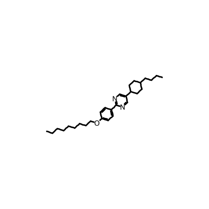 CCCCCCCCCOc1ccc(-c2ncc(C3CCC(CCCC)CC3)cn2)cc1